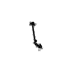 COc1ccc(Br)c2[nH]cc(C(=O)C(=O)N3CCN(C(=O)c4cccc(OCCOCCOCCOCCOCCOCCNc5c([N+](=O)[O-])cccc5[N+](=O)[O-])c4)CC3)c12